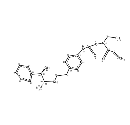 C=CC(=O)N(CC)CC(=O)Nc1ccc(CCN[C@H](C)[C@H](O)c2cccnc2)cc1